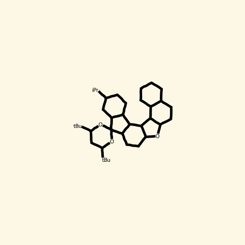 CC(C)C1CCC2C3C4C(CCC3C3(OC(C(C)(C)C)CC(C(C)(C)C)O3)C2C1)OC1CCC2CCCCC2C14